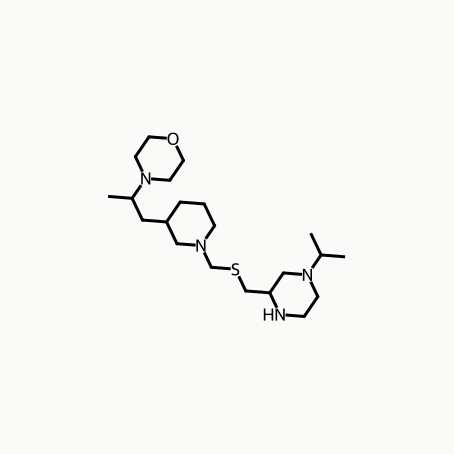 CC(C)N1CCNC(CSCN2CCCC(CC(C)N3CCOCC3)C2)C1